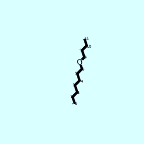 [CH2]CCCCCCOCCCC